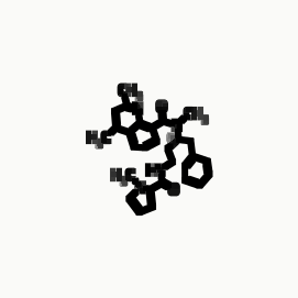 Cc1cc(C)c2cccc(C(=O)N(C)[C@H](CCNC(=O)c3cccn3C)Cc3ccccc3)c2n1